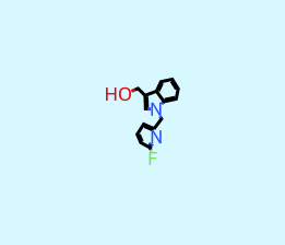 OCc1cn(Cc2cccc(F)n2)c2ccccc12